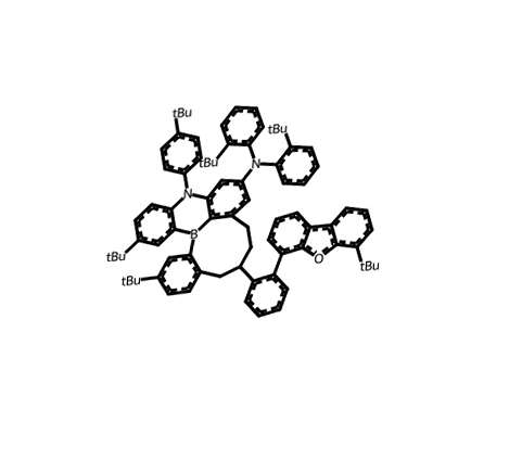 CC(C)(C)c1ccc(N2c3ccc(C(C)(C)C)cc3B3c4cc(C(C)(C)C)ccc4CC(c4ccccc4-c4cccc5c4oc4c(C(C)(C)C)cccc45)CCc4cc(N(c5ccccc5C(C)(C)C)c5ccccc5C(C)(C)C)cc2c43)cc1